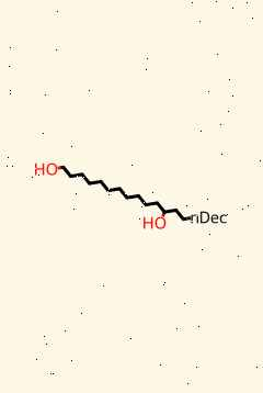 CCCCCCCCCCCC[C](O)CCCCCCCCCCCO